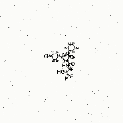 O=C(NC(F)C(O)C(F)F)c1cc(-c2ccc(Cl)cc2)nn(-c2cccnc2)c1=O